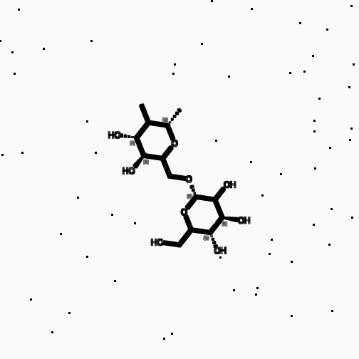 CC1[C@H](C)OC(CO[C@H]2OC(CO)[C@@H](O)[C@H](O)C2O)[C@@H](O)[C@@H]1O